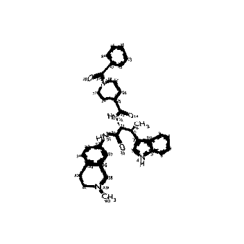 C[C@@H](c1c[nH]c2ccccc12)[C@@H](NC(=O)C1CCN(C(=O)c2ccccc2)CC1)C(=O)Nc1ccc2c(c1)CN(C)CC2